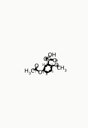 COc1ccc(OC(C)=O)cc1S(=O)(=O)O